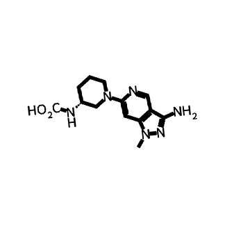 Cn1nc(N)c2cnc(N3CCC[C@@H](NC(=O)O)C3)cc21